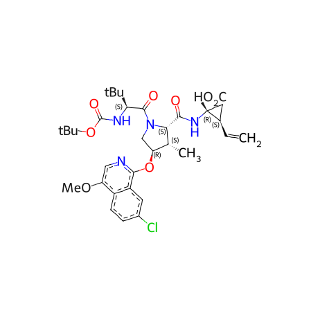 C=C[C@@H]1C[C@]1(NC(=O)[C@@H]1[C@H](C)[C@@H](Oc2ncc(OC)c3ccc(Cl)cc23)CN1C(=O)[C@@H](NC(=O)OC(C)(C)C)C(C)(C)C)C(=O)O